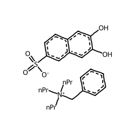 CCC[N+](CCC)(CCC)Cc1ccccc1.O=S(=O)([O-])c1ccc2cc(O)c(O)cc2c1